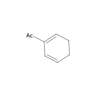 CC(=O)C1=CCCC=C1